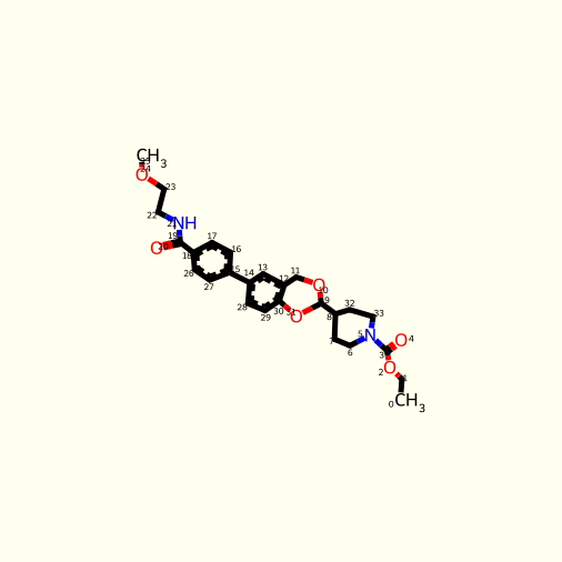 CCOC(=O)N1CCC(C2OCc3cc(-c4ccc(C(=O)NCCOC)cc4)ccc3O2)CC1